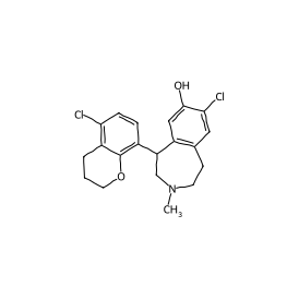 CN1CCc2cc(Cl)c(O)cc2C(c2ccc(Cl)c3c2OCCC3)C1